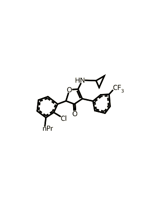 CCCc1cccc(C2OC(NC3CC3)=C(c3cccc(C(F)(F)F)c3)C2=O)c1Cl